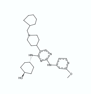 COc1cc(Nc2ncc(C3CCN(CC4CCCCC4)CC3)c(N[C@H]3CC[C@H](O)CC3)n2)ccn1